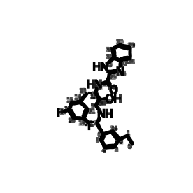 CCc1cccc(CNC[C@H](O)[C@H](Cc2cc(F)cc(F)c2)NC(=O)c2nc3ccccc3[nH]2)c1